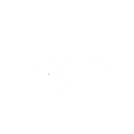 CCOC(OCC)C(CCN)NC(=O)C(CC=O)CCNSSc1ccccn1